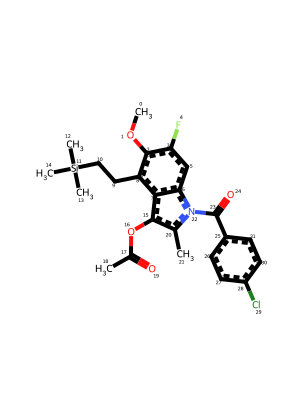 COc1c(F)cc2c(c1CC[Si](C)(C)C)c(OC(C)=O)c(C)n2C(=O)c1ccc(Cl)cc1